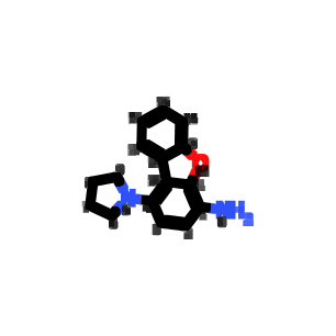 Nc1ccc(N2CCCC2)c2c1oc1ccccc12